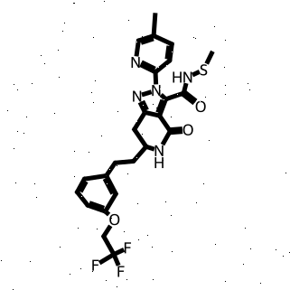 CSNC(=O)c1c2c(nn1-c1ccc(C)cn1)CC(CCc1cccc(OCC(F)(F)F)c1)NC2=O